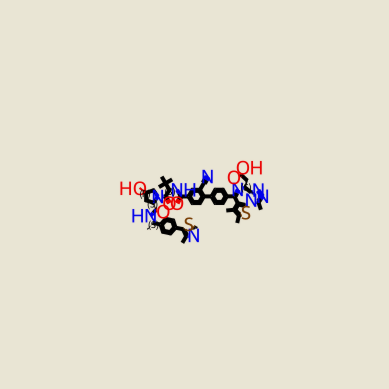 Cc1ncsc1-c1ccc([C@H](C)NC(=O)[C@@H]2C[C@@H](O)CN2C(=O)[C@@H](NC(=O)c2ccc(-c3ccc(C4=N[C@@H](CC(=O)O)c5nnc(C)n5-c5sc(C)c(C)c54)cc3)c(C#N)c2)C(C)(C)C)cc1